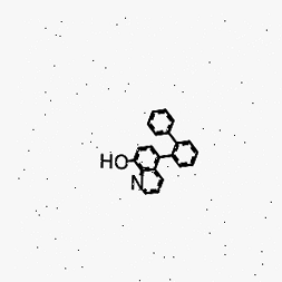 Oc1ccc(-c2ccccc2-c2ccccc2)c2cccnc12